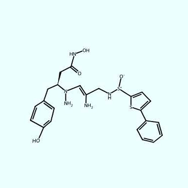 N/C(=C\N(N)[C@H](CC(=O)NO)Cc1ccc(O)cc1)CN[S+]([O-])c1ccc(-c2ccccc2)s1